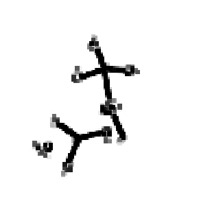 CO.ClC(Cl)(Cl)Cl.ClC(Cl)Cl.O